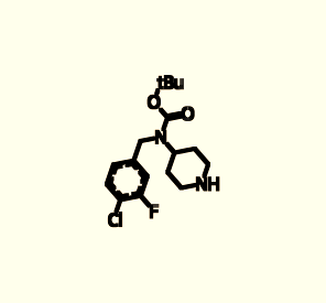 CC(C)(C)OC(=O)N(Cc1ccc(Cl)c(F)c1)C1CCNCC1